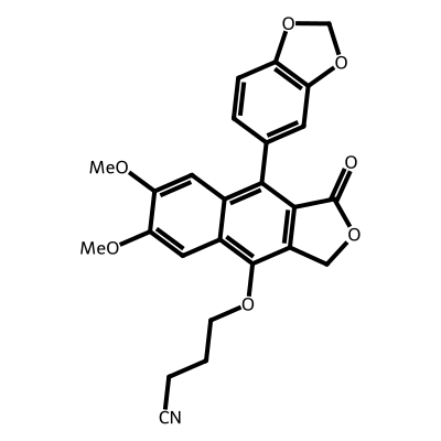 COc1cc2c(OCCCC#N)c3c(c(-c4ccc5c(c4)OCO5)c2cc1OC)C(=O)OC3